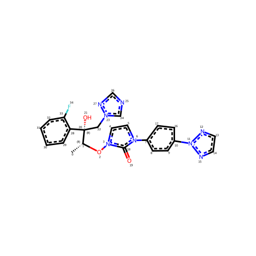 C[C@@H](On1ccn(-c2ccc(-n3nccn3)cc2)c1=O)[C@](O)(Cn1cncn1)c1ccccc1F